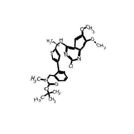 COc1cc2nc(Cl)nc(N[C@H](C)c3cc(-c4ccccc4CN(C)C(=O)OC(C)(C)C)cs3)c2cc1OC